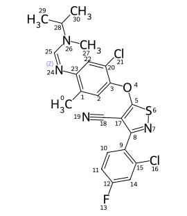 Cc1cc(Oc2snc(-c3ccc(F)cc3Cl)c2C#N)c(Cl)cc1/N=C\N(C)C(C)C